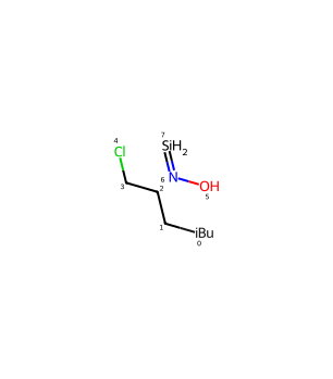 CCC(C)CCCCl.ON=[SiH2]